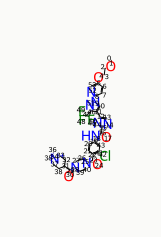 COCCOc1ccc(-n2cc(-c3cnc(C(=O)Nc4ccc(C(=O)N5CCN(C(=O)C6CC[N+](C)(C)CC6)CC5)c(Cl)c4)n3C)c(C(F)(F)F)n2)nc1